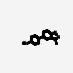 Cc1nnc2ccc(-c3ccc(C(C)(C)C)cc3)cn12